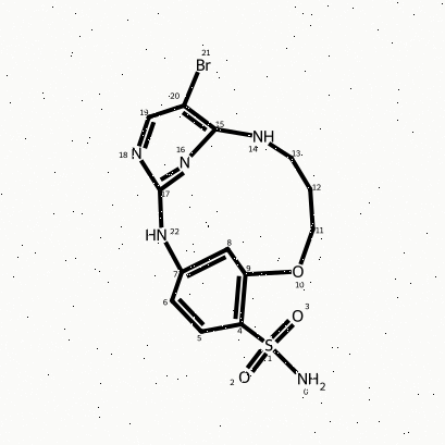 NS(=O)(=O)c1ccc2cc1OCCCNc1nc(ncc1Br)N2